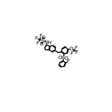 O=S(=O)(c1ccccc1F)c1cc(OC(F)(F)F)ccc1Cc1ccc2c(c1)CCC2NS(=O)(=O)C(F)(F)F